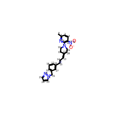 Cc1ccc([N+](=O)[O-])c(N2CCC(=C/C=C/c3cccc(Cn4cccn4)c3)CC2)n1